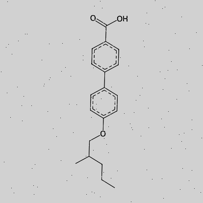 CCCC(C)COc1ccc(-c2ccc(C(=O)O)cc2)cc1